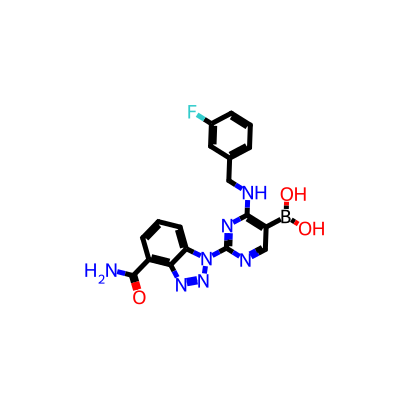 NC(=O)c1cccc2c1nnn2-c1ncc(B(O)O)c(NCc2cccc(F)c2)n1